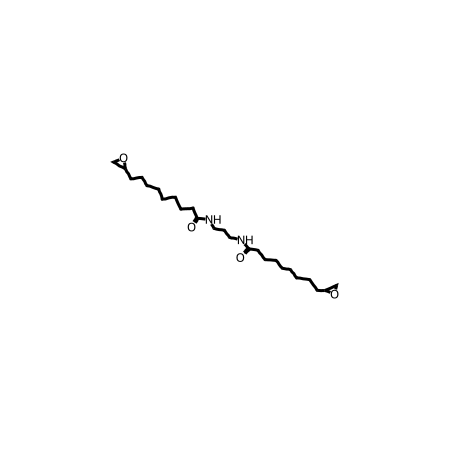 O=C(CCCCCCCCC1CO1)NCCCNC(=O)CCCCCCCCC1CO1